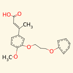 COc1ccc(C(C)=CC(=O)O)cc1OCCCOc1ccccc1